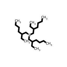 CCCCC(CC)C[Si](CC(CC)CCCC)CC(CC)CCCC